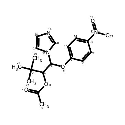 CC(=O)OC(C(Oc1ccc([N+](=O)[O-])cc1)n1ccnc1)C(C)(C)C